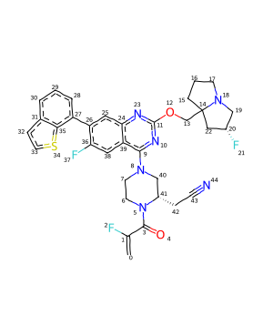 C=C(F)C(=O)N1CCN(c2nc(OCC34CCCN3C[C@H](F)C4)nc3cc(-c4cccc5ccsc45)c(F)cc23)C[C@@H]1CC#N